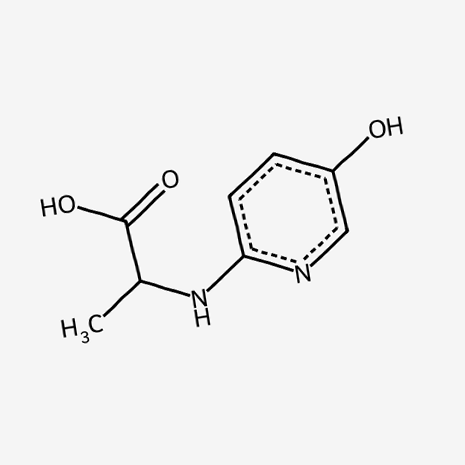 CC(Nc1ccc(O)cn1)C(=O)O